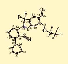 CC(C)(C)[Si](C)(C)OCc1cc(/C=C/c2cccc(-c3ccccc3)c2C#N)c(C(F)(F)F)cc1C=O